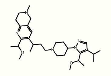 COC(C)c1nc2c(cc1C(C)CCN1CCC(n3ncc(C(C)C)c3C(C)OC)CC1)CN(C)CC2